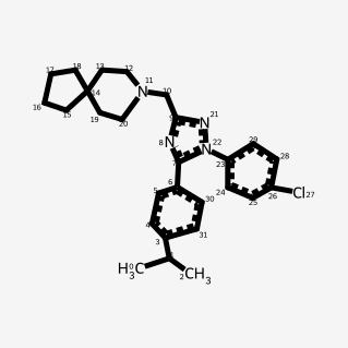 CC(C)c1ccc(-c2nc(CN3CCC4(CCCC4)CC3)nn2-c2ccc(Cl)cc2)cc1